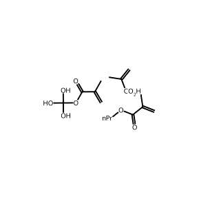 C=C(C)C(=O)O.C=C(C)C(=O)OC(O)(O)O.C=C(C)C(=O)OCCC